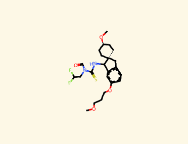 COCCCOc1ccc2c(c1)C(NC(=S)N(C=O)CC(F)F)[C@]1(CC[C@H](OC)CC1)C2